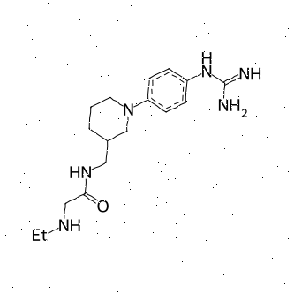 CCNCC(=O)NCC1CCCN(c2ccc(NC(=N)N)cc2)C1